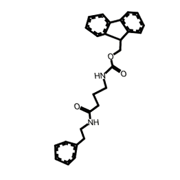 O=C(CCCNC(=O)OCC1c2ccccc2-c2ccccc21)NCCc1ccccc1